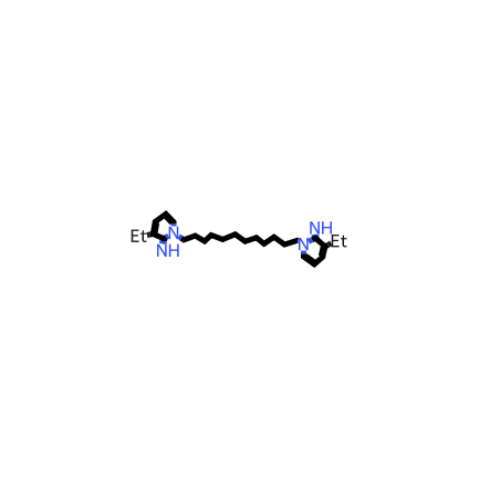 CCc1cccn(CCCCCCCCCCCCn2cccc(CC)c2=N)c1=N